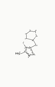 Cn1c(S)nnc1SC1CCCCC1